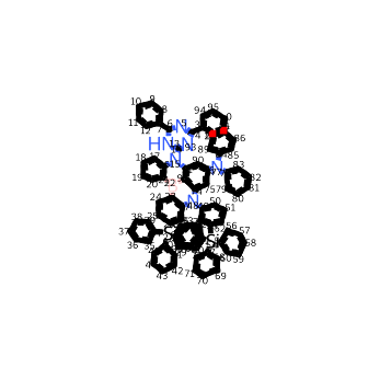 c1ccc(C2=NC(c3ccccc3)NC(N3c4ccccc4B4c5ccc([Si](c6ccccc6)(c6ccccc6)c6ccccc6)cc5N(c5cccc([Si](c6ccccc6)(c6ccccc6)c6ccccc6)c5)c5cc(N(c6ccccc6)c6ccccc6)cc3c54)=N2)cc1